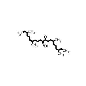 C=CC(C)CCC=C(C)CCCC(=NO)C(=O)CCC(C)=CCCC(C)C=C